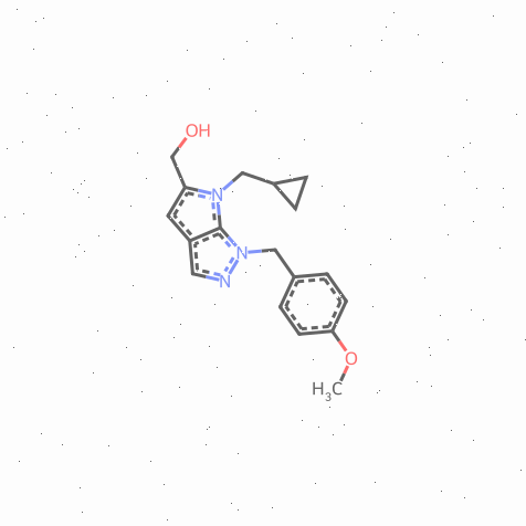 COc1ccc(Cn2ncc3cc(CO)n(CC4CC4)c32)cc1